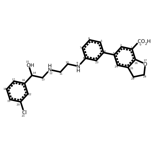 O=C(O)c1cc(-c2cccc(NCCNCC(O)c3cccc(Cl)c3)c2)cc2c1OCC2